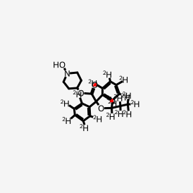 [2H]c1c([2H])c([2H])c(C(OC([2H])([2H])C([2H])([2H])C([2H])([2H])[2H])(C(=O)OC2CCN(O)CC2)c2c([2H])c([2H])c([2H])c([2H])c2[2H])c([2H])c1[2H]